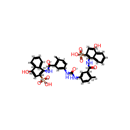 Cc1ccc(NC(=O)Nc2ccc(C)c(C(=O)Nc3c(S(=O)(=O)O)cc(O)c4ccccc34)c2)cc1C(=O)Nc1c(S(=O)(=O)O)cc(O)c2ccccc12